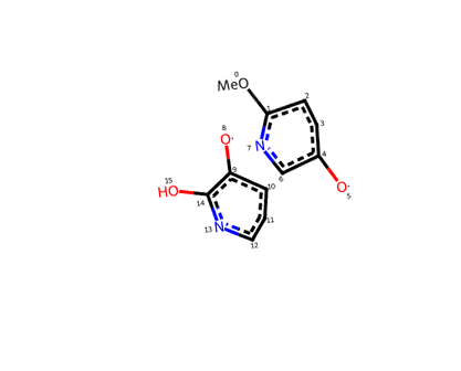 COc1ccc([O])cn1.[O]c1cccnc1O